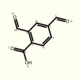 O=Cc1ccc(C(=O)O)c(C=O)c1